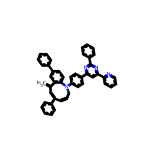 C=C1/C=C(c2ccccc2)\C=C/CN(c2ccc(-c3cc(-c4ccccn4)nc(-c4ccccc4)n3)cc2)c2ccc(-c3ccccc3)cc21